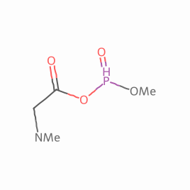 CNCC(=O)O[PH](=O)OC